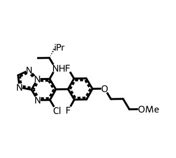 COCCCOc1cc(F)c(-c2c(Cl)nc3ncnn3c2N[C@H](C)C(C)C)c(F)c1